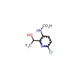 O=C(O)Nc1ccc(Cl)nc1C(O)C(F)(F)F